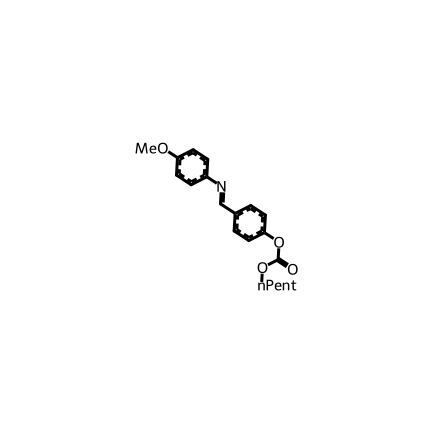 CCCCCOC(=O)Oc1ccc(C=Nc2ccc(OC)cc2)cc1